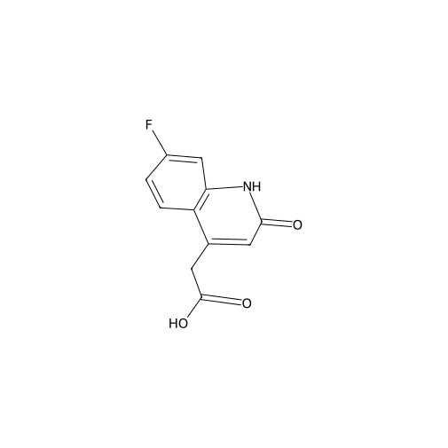 O=C(O)Cc1cc(=O)[nH]c2cc(F)ccc12